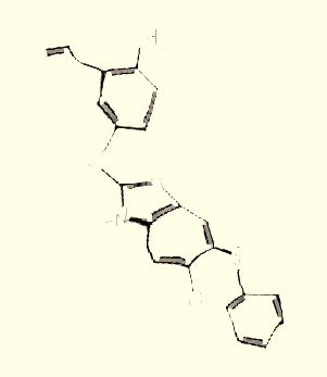 Cc1ccc(Oc2nc3cc(Sc4ccccc4)c(Cl)cc3[nH]2)cc1C=O